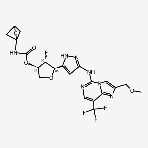 COCc1cn2c(Nc3cc([C@H]4OC[C@@H](OC(=O)NC56CC(C5)C6)[C@@H]4F)[nH]n3)ncc(C(F)(F)F)c2n1